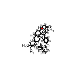 CC1(C)COC2(CC[C@@]34Cc5cc(OS(=O)(=O)C(F)(F)C(F)(F)C(F)(F)C(F)(F)F)ccc5C5C[C@]6(C)C(=O)CC[C@H]6[C@H](CC[C@@]3(O)C2)[C@]54O)OC1